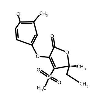 CC[C@@]1(C)OC(=O)C(Oc2ccc(Cl)c(C)c2)=C1S(C)(=O)=O